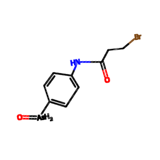 O=[AsH2]c1ccc(NC(=O)CCBr)cc1